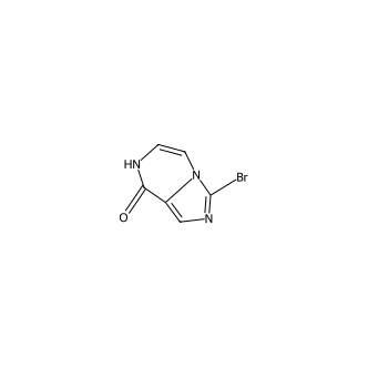 O=c1[nH]ccn2c(Br)ncc12